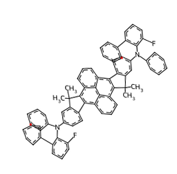 CC1(C)c2cc(N(c3ccccc3)c3c(F)cccc3-c3ccccc3)ccc2-c2c1c1cccc3c4c(c5cccc2c5c31)C(C)(C)c1cc(N(c2ccccc2)c2c(F)cccc2-c2ccccc2)ccc1-4